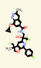 Cc1cc2cc(C(=O)NCC(O)(c3cc4c(c(-c5ccc(F)cc5)n3)OCC4(C)CF)C(F)(F)F)cc(OC3CC3)c2nn1